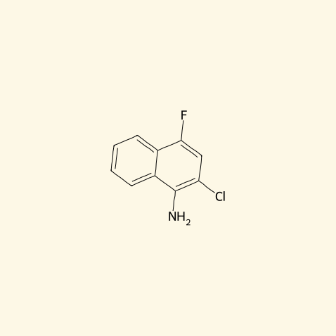 Nc1c(Cl)cc(F)c2ccccc12